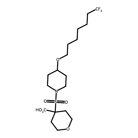 O=C(O)C1(S(=O)(=O)N2CCC(OCCCCCCC(F)(F)F)CC2)CCOCC1